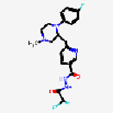 CN1CCN(c2ccc(F)cc2)C(Cc2ccc(C(=O)NNC(=O)C(F)F)cn2)C1